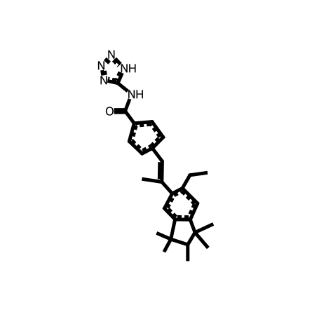 CCc1cc2c(cc1C(C)=Cc1ccc(C(=O)Nc3nnn[nH]3)cc1)C(C)(C)C(C)C2(C)C